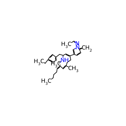 C=C1C=CC(/C(=C/C(Cc2ccc(CC)cc2)NC)CC/C(C)=C\C=C/CCCC)=CN1/N=C\C